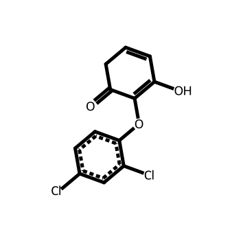 O=C1CC=CC(O)=C1Oc1ccc(Cl)cc1Cl